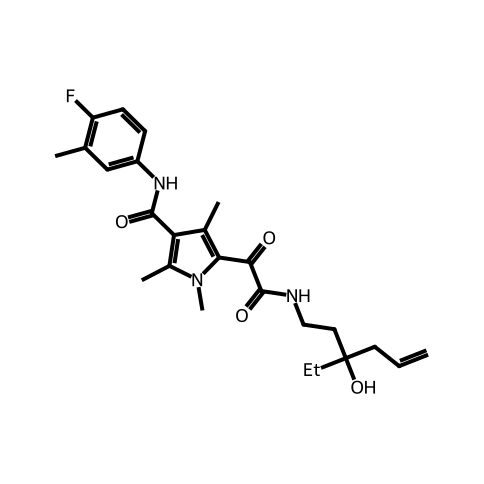 C=CCC(O)(CC)CCNC(=O)C(=O)c1c(C)c(C(=O)Nc2ccc(F)c(C)c2)c(C)n1C